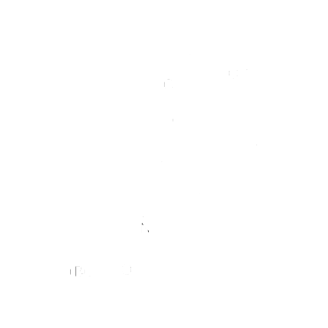 CC(C)(C)ON=Cc1ccc2c(c1)OCO2